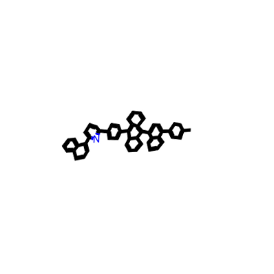 CC1=CC=C(c2ccc(C3=c4ccccc4=C(c4ccc(-c5cccc(-c6cccc7ccccc67)n5)cc4)C4C=CC=CC34)c3ccccc23)CC1